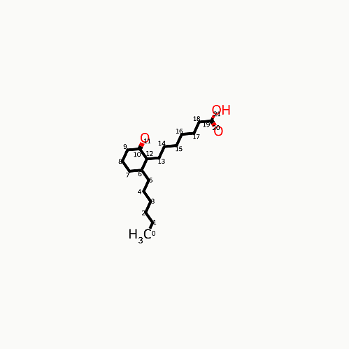 CCCCCCC1CCCC(=O)C1CCCCCCC(=O)O